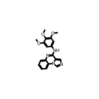 COc1cc(Nc2nc3ccccc3n3cncc23)cc(OC)c1OC